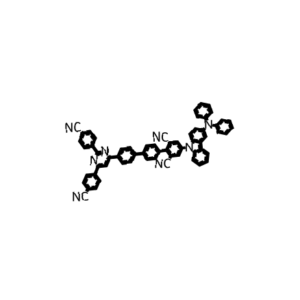 N#Cc1ccc(-c2cc(-c3ccc(-c4ccc(-c5c(C#N)cc(-n6c7ccccc7c7cc(N(c8ccccc8)c8ccccc8)ccc76)cc5C#N)cc4)cc3)nc(-c3ccc(C#N)cc3)n2)cc1